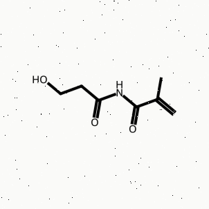 C=C(C)C(=O)NC(=O)CCO